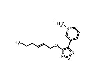 CCCC=CCOc1nsnc1-c1ccc[n+](C)c1.[I-]